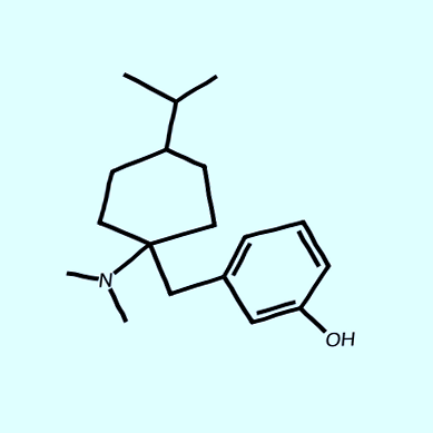 CC(C)C1CCC(Cc2cccc(O)c2)(N(C)C)CC1